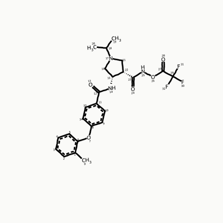 Cc1ccccc1Oc1ccc(C(=O)N[C@@H]2CN(C(C)C)C[C@@H]2C(=O)NOC(=O)C(F)(F)F)cc1